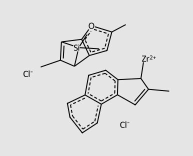 CC1=C2c3oc(C)cc3C1[Si]2(C)C.CC1=Cc2c(ccc3ccccc23)[CH]1[Zr+2].[Cl-].[Cl-]